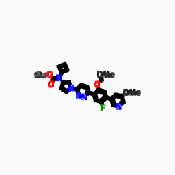 COCOc1cc(-c2cncc(OC)c2)c(F)cc1-c1ccc(N2CC[C@@H](N(C(=O)OC(C)(C)C)C3CCC3)C2)nn1